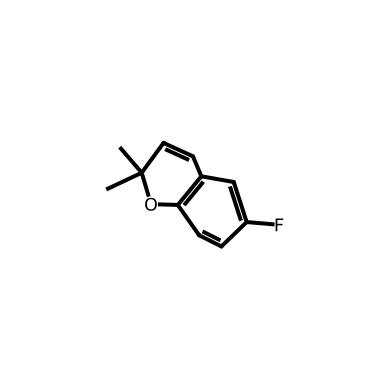 CC1(C)C=Cc2cc(F)ccc2O1